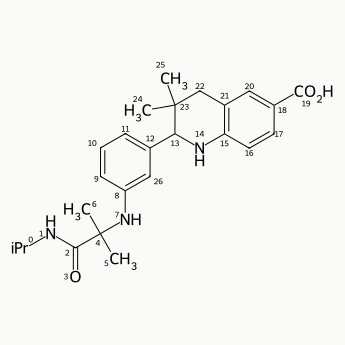 CC(C)NC(=O)C(C)(C)Nc1cccc(C2Nc3ccc(C(=O)O)cc3CC2(C)C)c1